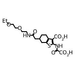 CCOCCOCCNC(=O)CC1CCc2c(sc(NC(=O)C(=O)O)c2C(=O)O)C1